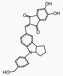 O=C1C(=Cc2ccc3c(c2)C2CCCC2N3c2ccc(CO)cc2)C(=O)c2cc(O)c(O)cc21